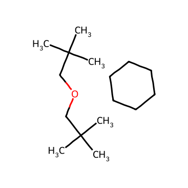 C1CCCCC1.CC(C)(C)COCC(C)(C)C